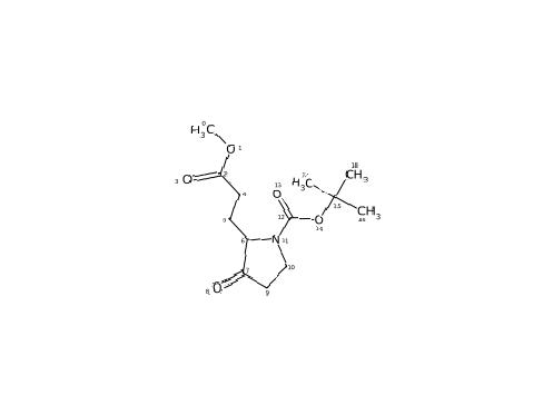 COC(=O)CCC1C(=O)CCN1C(=O)OC(C)(C)C